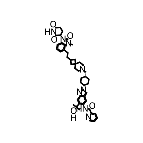 Cn1c(=O)n(C2CCC(=O)NC2=O)c2cccc(CCC3CC4(CCN(C[C@H]5CC[C@H](n6cc7cc(NC(=O)c8ccccn8)c(C(C)(C)O)cc7n6)CC5)CC4)C3)c21